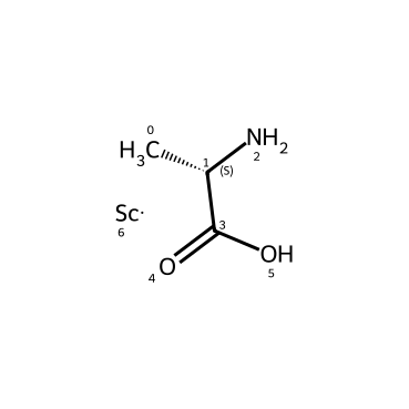 C[C@H](N)C(=O)O.[Sc]